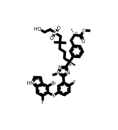 COC(=O)[C@@H](C)Cc1cccc([C@@](C)(CCCC(C)(C)CS(=O)(=O)CCO)c2nc(-c3cc(Sc4c(F)cc5[nH]ccc5c4Br)ccc3F)n(C)n2)c1